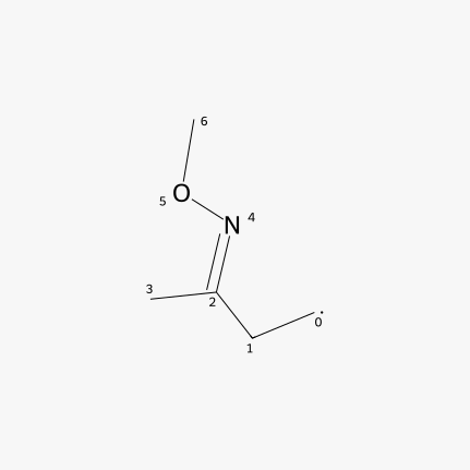 [CH2]CC(C)=NOC